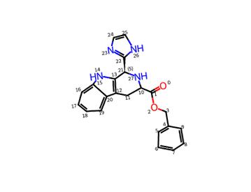 O=C(OCc1ccccc1)C1Cc2c([nH]c3ccccc23)[C@@H](c2ncc[nH]2)N1